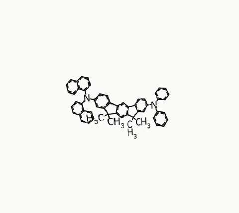 CC1(C)c2cc(N(c3ccccc3)c3ccccc3)ccc2-c2cc3c(cc21)C(C)(C)c1cc(N(c2cccc4ccccc24)c2cccc4ccccc24)ccc1-3